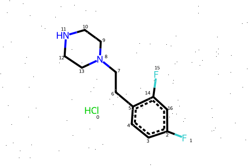 Cl.Fc1ccc(CCN2CCNCC2)c(F)c1